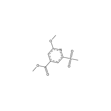 COC(=O)c1cc(OC)nc(S(C)(=O)=O)c1